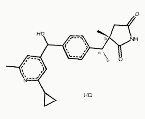 Cc1cc(C(O)c2ccc([C@@H](C)[C@]3(C)CC(=O)NC3=O)cc2)cc(C2CC2)n1.Cl